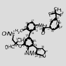 CNc1c(OC(C)(C=O)COC)cc(-c2cc(NC(=O)c3ccnc(C(C)(F)F)c3)ccc2C)cc1C1CCOCC1